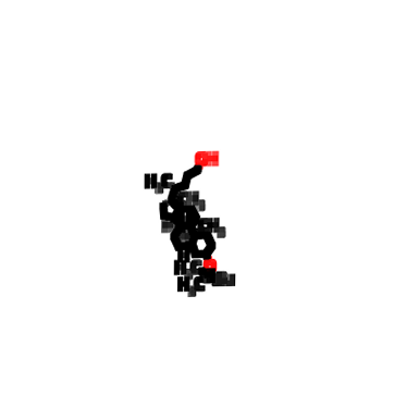 C[C@H](CCCO)[C@H]1CC[C@H]2[C@H]3CC[C@@H]4CC(O[Si](C)(C)C(C)(C)C)CC[C@]4(C)[C@H]3CC[C@]12C